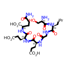 CC(C)C[C@H](NC(=O)[C@@H](N)CO)C(=O)NCC(=O)N[C@@H](CCC(=O)O)C(=O)N[C@@H](CCC(=O)O)C(=O)N[C@@H](CCC(N)=O)C(=O)O